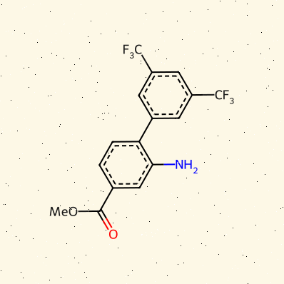 COC(=O)c1ccc(-c2cc(C(F)(F)F)cc(C(F)(F)F)c2)c(N)c1